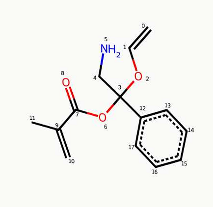 C=COC(CN)(OC(=O)C(=C)C)c1ccccc1